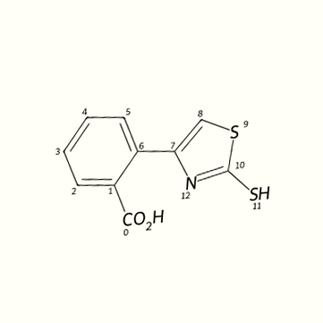 O=C(O)c1ccccc1-c1csc(S)n1